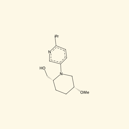 CO[C@@H]1CC[C@H](CO)N(c2ccc(C(C)C)nc2)C1